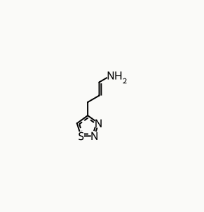 NC=CCc1csnn1